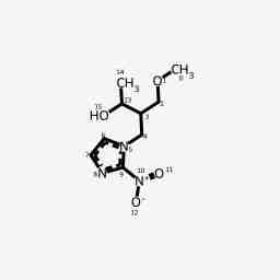 COCC(Cn1ccnc1[N+](=O)[O-])C(C)O